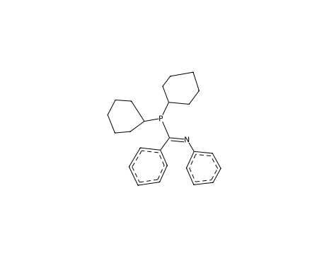 c1ccc(N=C(c2ccccc2)P(C2CCCCC2)C2CCCCC2)cc1